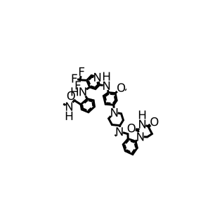 CNC(=O)c1ccccc1Nc1cc(Nc2ccc(N3CCC(N(C)Cc4ccccc4N4CCC(=O)NC4=O)CC3)cc2OC)ncc1C(F)(F)F